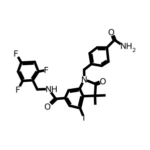 CC1(C)C(=O)N(Cc2ccc(C(N)=O)cc2)c2cc(C(=O)NCc3c(F)cc(F)cc3F)cc(I)c21